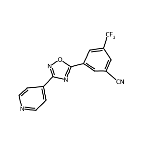 N#Cc1cc(-c2nc(-c3ccncc3)no2)cc(C(F)(F)F)c1